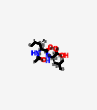 CC[C@H](C)[C@H](NC(C)=O)C(=O)N[C@@H](CC(C)C)C(=O)O